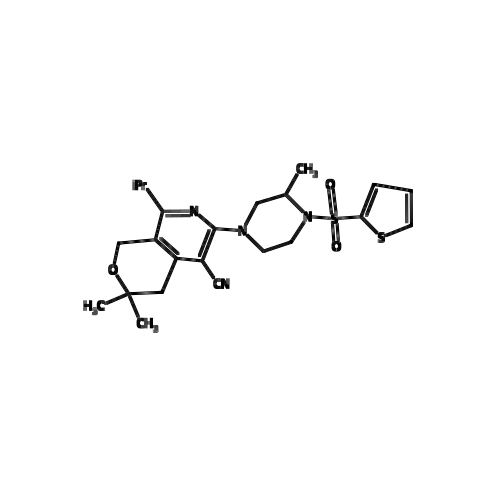 CC(C)c1nc(N2CCN(S(=O)(=O)c3cccs3)C(C)C2)c(C#N)c2c1COC(C)(C)C2